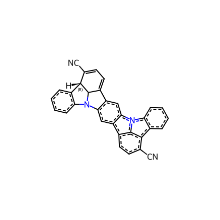 N#CC1=CC=C2c3cc4c(cc3N3c5ccccc5[C@H]1C23)c1ccc(C#N)c2c3ccccc3n4c12